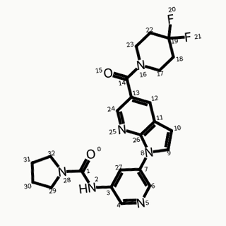 O=C(Nc1cncc(-n2ccc3cc(C(=O)N4CCC(F)(F)CC4)cnc32)c1)N1CCCC1